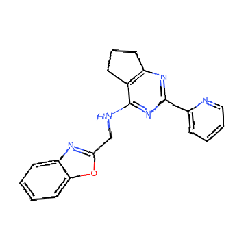 c1ccc(-c2nc3c(c(NCc4nc5ccccc5o4)n2)CCC3)nc1